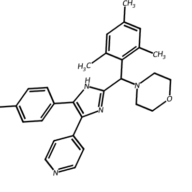 Cc1cc(C)c(C(c2nc(-c3ccncc3)c(-c3ccc(Cl)cc3)[nH]2)N2CCOCC2)c(C)c1